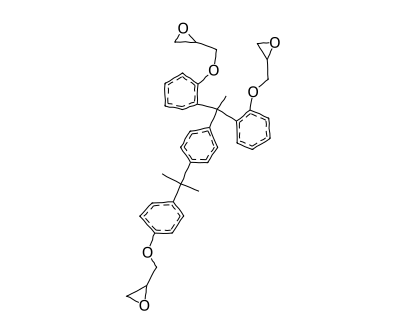 CC(C)(c1ccc(OCC2CO2)cc1)c1ccc(C(C)(c2ccccc2OCC2CO2)c2ccccc2OCC2CO2)cc1